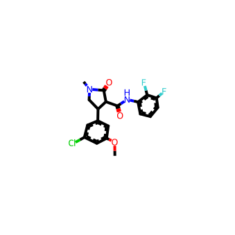 COc1cc(Cl)cc(C2CN(C)C(=O)C2C(=O)Nc2cccc(F)c2F)c1